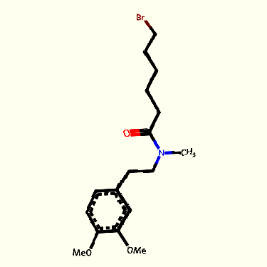 COc1ccc(CCN(C)C(=O)CCCCCBr)cc1OC